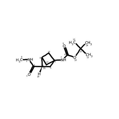 CNC(=O)[C@H]1CC2(NC(=O)OC(C)(C)C)CC1C2